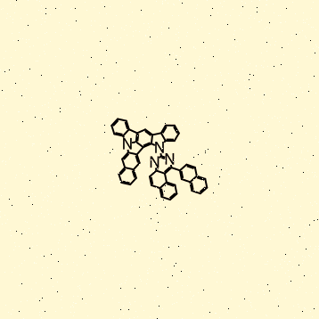 c1ccc2cc(-c3nc(-n4c5ccccc5c5cc6c7ccccc7n7c8cc9ccccc9cc8c(c54)c67)nc4ccc5ccccc5c34)ccc2c1